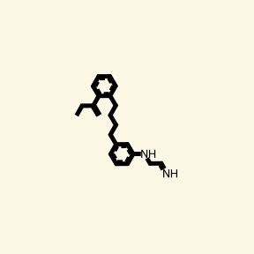 C=C(CC)c1ccccc1CCCCc1cccc(NCC=N)c1